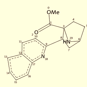 COC(=O)C12CCC(CC1c1ccc3ccccc3n1)N2